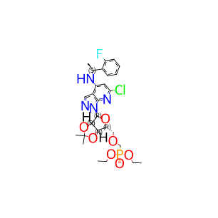 CCOP(=O)(COC[C@H]1O[C@@H](n2ncc3c(N[C@@H](C)c4ccccc4F)cc(Cl)nc32)[C@@H]2OC(C)(C)O[C@@H]21)OCC